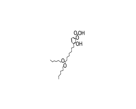 CCCCCCOC(CCCCCCCc1cccc(OC(=O)O)c1O)OCCCCCC